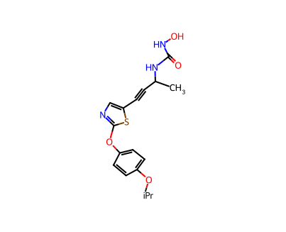 CC(C#Cc1cnc(Oc2ccc(OC(C)C)cc2)s1)NC(=O)NO